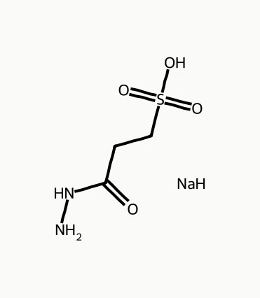 NNC(=O)CCS(=O)(=O)O.[NaH]